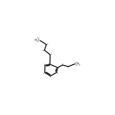 CC[CH]c1ccccc1CCCC